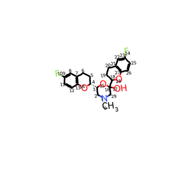 CN1CC([C@H]2CCc3cc(F)ccc3O2)OC(O)(C2CCc3cc(F)ccc3O2)C1